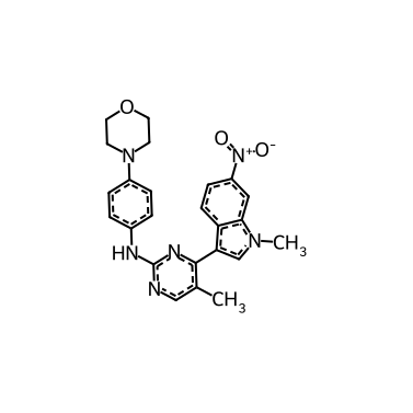 Cc1cnc(Nc2ccc(N3CCOCC3)cc2)nc1-c1cn(C)c2cc([N+](=O)[O-])ccc12